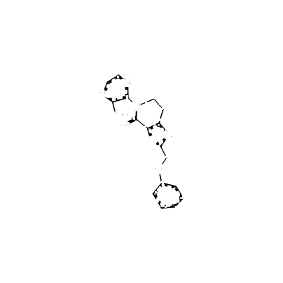 COc1nccnc1N1CCc2nc(COc3ccccc3)oc2C1=O